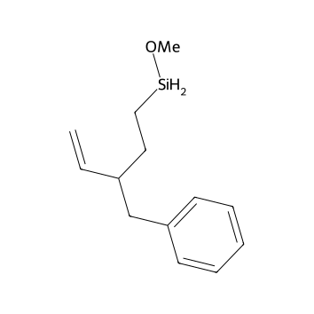 C=CC(CC[SiH2]OC)Cc1ccccc1